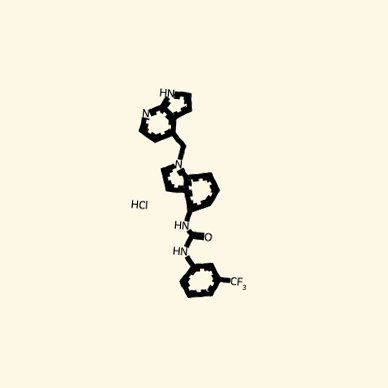 Cl.O=C(Nc1cccc(C(F)(F)F)c1)Nc1cccc2c1ccn2Cc1ccnc2[nH]ccc12